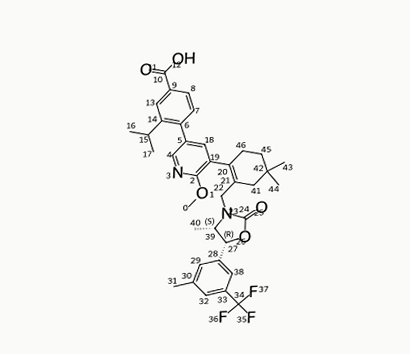 COc1ncc(-c2ccc(C(=O)O)cc2C(C)C)cc1C1=C(CN2C(=O)O[C@H](c3cc(C)cc(C(F)(F)F)c3)[C@@H]2C)CC(C)(C)CC1